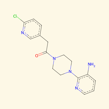 Nc1cccnc1N1CCN(C(=O)Cc2ccc(Cl)nc2)CC1